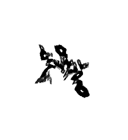 C[C@H](NC(=O)[C@H](Cc1ccccc1)NC(=O)[C@H](CCCCN)NC(=O)[C@@H]1CCC(=O)N1)C(=O)N1CC(OCc2ccccc2)C[C@H]1C(=O)O